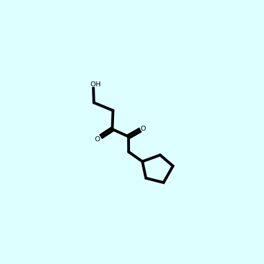 O=C(CCO)C(=O)CC1CCCC1